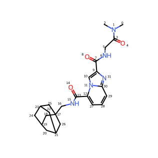 CN(C)C(=O)CNC(=O)c1cn2c(C(=O)NCC34CC5CC(CC(C5)C3)C4)cccc2n1